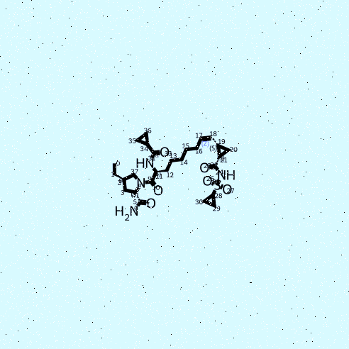 CC[C@@H]1C[C@@H](C(N)=O)N(C(=O)[C@H](CCCCC/C=C\[C@@H]2C[C@@H]2C(=O)NS(=O)(=O)C2CC2)NC(=O)C2CC2)C1